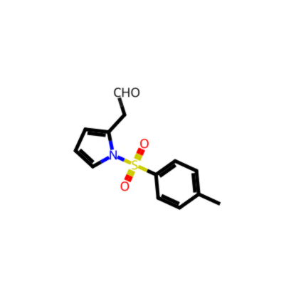 Cc1ccc(S(=O)(=O)n2cccc2CC=O)cc1